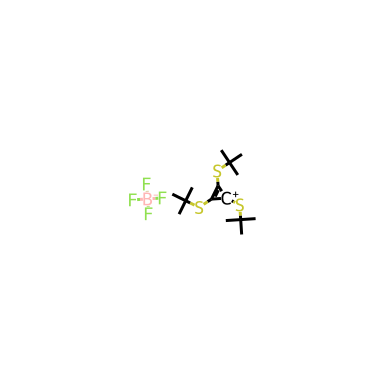 CC(C)(C)Sc1c(SC(C)(C)C)[c+]1SC(C)(C)C.F[B-](F)(F)F